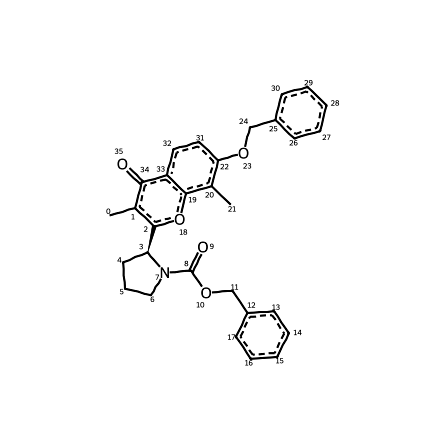 Cc1c([C@@H]2CCCN2C(=O)OCc2ccccc2)oc2c(C)c(OCc3ccccc3)ccc2c1=O